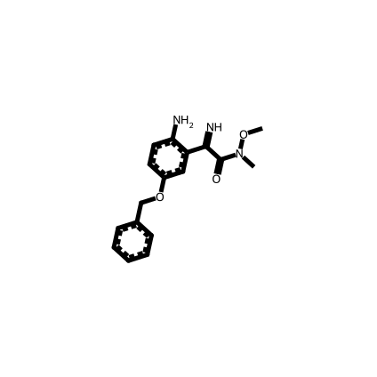 CON(C)C(=O)C(=N)c1cc(OCc2ccccc2)ccc1N